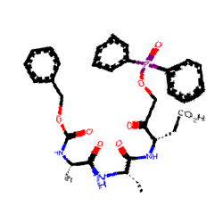 CC(C)[C@H](NC(=O)OCc1ccccc1)C(=O)N[C@@H](C)C(=O)N[C@@H](CC(=O)O)C(=O)COP(=O)(c1ccccc1)c1ccccc1